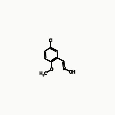 COc1ccc(Cl)cc1/C=N/O